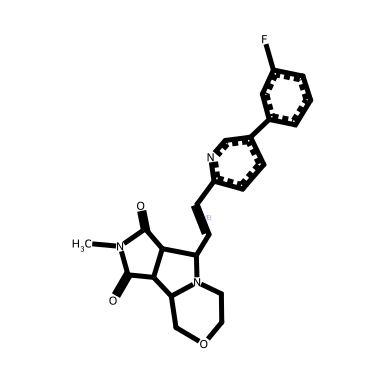 CN1C(=O)C2C(C1=O)C1COCCN1C2/C=C/c1ccc(-c2cccc(F)c2)cn1